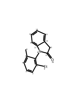 CCc1cccc(C)c1N1C(=O)Cc2ccccc21